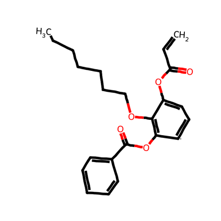 C=CC(=O)Oc1cc[c]c(OC(=O)c2ccccc2)c1OCCCCCCC